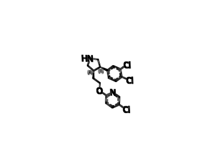 Clc1ccc(OCC[C@H]2CNC[C@H]2c2ccc(Cl)c(Cl)c2)nc1